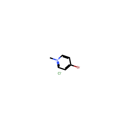 C[n+]1ccc(Br)cc1.[Cl-]